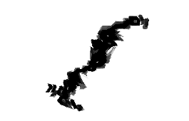 C=CC(=C)OCCCCCCOc1ccc(C(=O)Oc2ccc(/C=C/CC)cc2)cc1